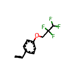 C=Cc1ccc(OCC(F)(F)C(F)F)cc1